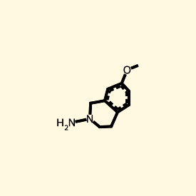 COc1ccc2c(c1)CN(N)CC2